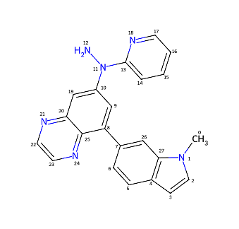 Cn1ccc2ccc(-c3cc(N(N)c4ccccn4)cc4nccnc34)cc21